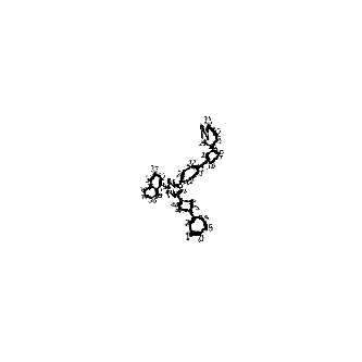 c1ccc(-c2ccc(-c3cc(-c4ccc(-c5cccc(-c6cccnc6)c5)cc4)nc(-c4cccc5ccccc45)n3)cc2)cc1